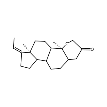 C/C=C1/CCC2C3CCC4CC(=O)CC[C@]4(C)C3CC[C@]12C